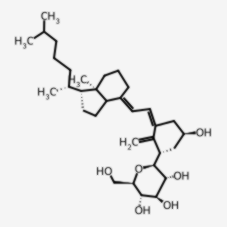 C=C1/C(=C\C=C2CCC[C@@]3(C)C2CC[C@@H]3[C@H](C)CCCC(C)C)C[C@@H](O)C[C@@H]1[C@@H]1O[C@H](CO)[C@@H](O)[C@H](O)[C@H]1O